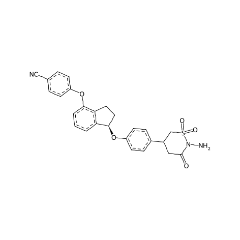 N#Cc1ccc(Oc2cccc3c2CC[C@H]3Oc2ccc(C3CC(=O)N(N)S(=O)(=O)C3)cc2)cc1